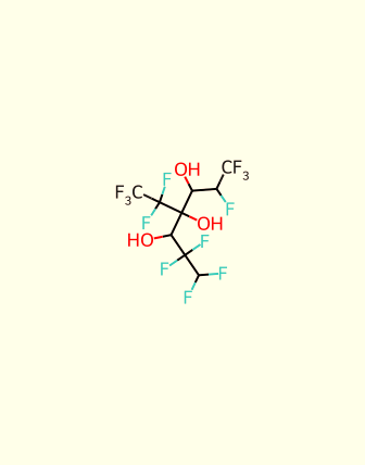 OC(C(F)C(F)(F)F)C(O)(C(O)C(F)(F)C(F)F)C(F)(F)C(F)(F)F